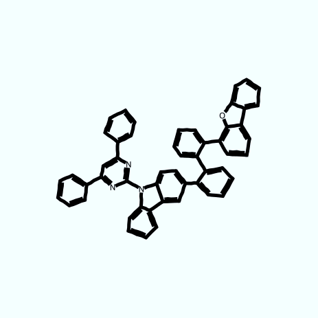 c1ccc(-c2cc(-c3ccccc3)nc(-n3c4ccccc4c4cc(-c5ccccc5-c5ccccc5-c5cccc6c5oc5ccccc56)ccc43)n2)cc1